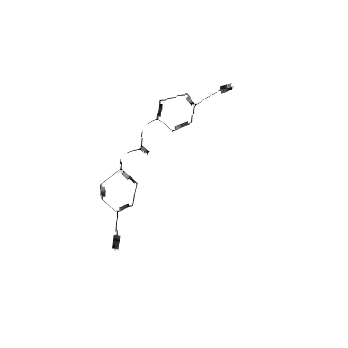 C#Cc1ccc(OC(=O)Oc2ccc(C#C)cc2)cc1